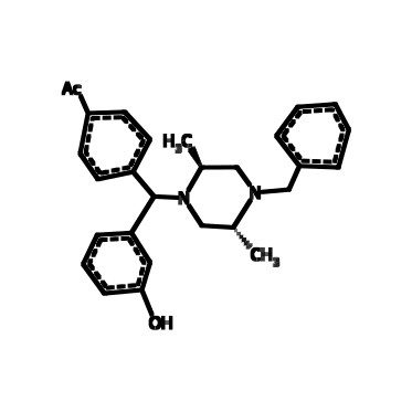 CC(=O)c1ccc(C(c2cccc(O)c2)N2C[C@@H](C)N(Cc3ccccc3)C[C@@H]2C)cc1